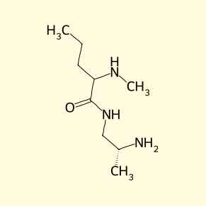 CCCC(NC)C(=O)NC[C@@H](C)N